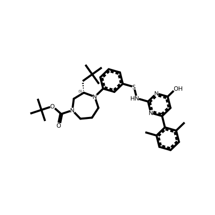 Cc1cccc(C)c1-c1cc(O)nc(NSc2cccc(N3CCCN(C(=O)OC(C)(C)C)C[C@@H]3CC(C)(C)C)c2)n1